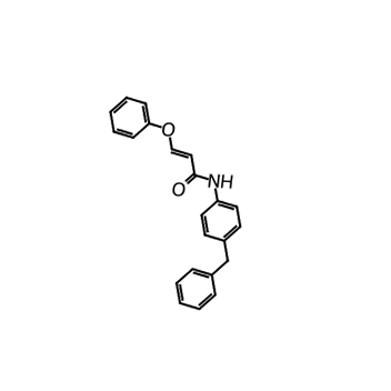 O=C(C=COc1ccccc1)Nc1ccc(Cc2ccccc2)cc1